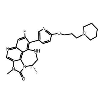 C[C@H]1CNc2c(-c3ccc(OCCCN4CCCCC4)nc3)c(F)cc3ncc4c(c23)n1c(=O)n4C